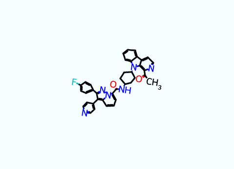 CC(=O)c1nccc2c3ccccc3n([C@H]3CC[C@H](NC(=O)c4cccc5c(-c6ccncc6)c(-c6ccc(F)cc6)nn45)CC3)c12